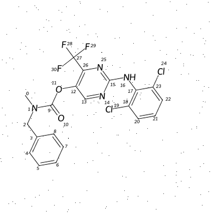 CN(Cc1ccccc1)C(=O)Oc1cnc(Nc2c(Cl)cccc2Cl)nc1C(F)(F)F